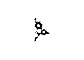 CCOC(=O)C1CC(C)=NN1c1ccc(OC)cc1